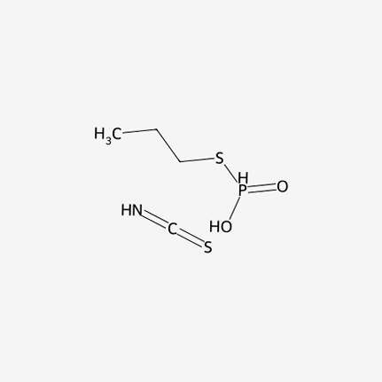 CCCS[PH](=O)O.N=C=S